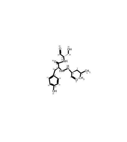 CC(C)C[C@@H](C=O)NN[C@@H](Cc1ccc(O)cc1)C(=O)N[C@H](C=O)CO